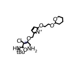 CC(C)(C)NC(=O)/C(Cl)=C(\CN)OCC1=[N+]=C(OCCOC2CCCCO2)C=C1